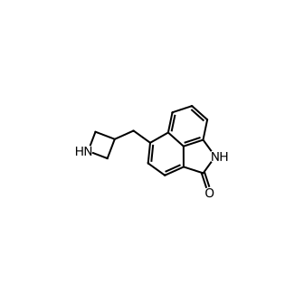 O=C1Nc2cccc3c(CC4CNC4)ccc1c23